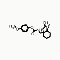 C=CC[C@]1(CNC(=O)Oc2ccc(OC)cc2)CCCCC1=O